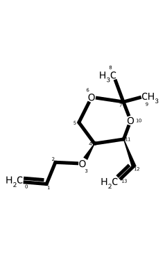 C=CCO[C@H]1COC(C)(C)O[C@H]1C=C